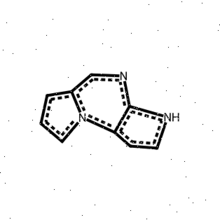 [c]1c[nH]c2ncc3cccn3c12